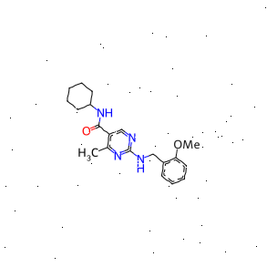 COc1ccccc1CNc1ncc(C(=O)NC2CCCCC2)c(C)n1